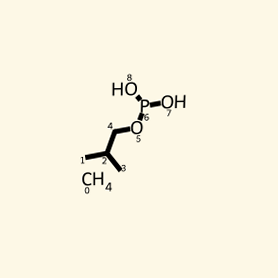 C.CC(C)COP(O)O